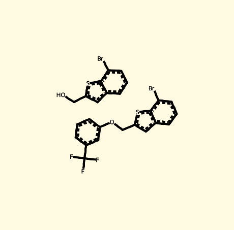 FC(F)(F)c1cccc(OCc2cc3cccc(Br)c3s2)c1.OCc1cc2cccc(Br)c2s1